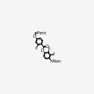 CCCCCCCCCc1ccc(OC(=O)c2ccc(OCCCCC)cc2F)c(F)c1F